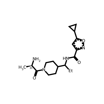 CCC(NC(=O)c1cc(C2CC2)on1)C1CCN(C(=O)[C@@H](C)N)CC1